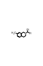 CCC(CC)N1CCc2ccc(C)cc2C1